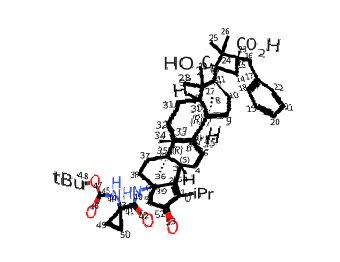 CC(C)C1=C2[C@H]3CC[C@@H]4[C@]5(C)CC[C@H]([C@]6(C(=O)O)C[C@](Cc7ccccc7)(C(=O)O)C6(C)C)C(C)(C)[C@H]5CC[C@@]4(C)[C@]3(C)CC[C@@]2(NC(=O)C2(NC(=O)OC(C)(C)C)CC2)CC1=O